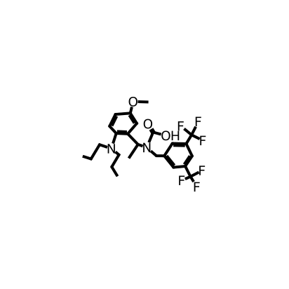 CCCN(CCC)c1ccc(OC)cc1C(C)N(Cc1cc(C(F)(F)F)cc(C(F)(F)F)c1)C(=O)O